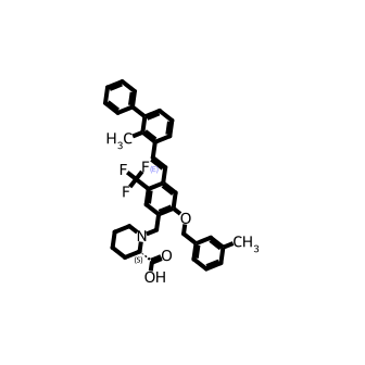 Cc1cccc(COc2cc(/C=C/c3cccc(-c4ccccc4)c3C)c(C(F)(F)F)cc2CN2CCCC[C@H]2C(=O)O)c1